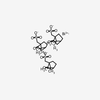 CC1(C)C2CCC1(CS(=O)(=O)[O-])C(=O)C2.CC1(C)C2CCC1(CS(=O)(=O)[O-])C(=O)C2.CC1(C)C2CCC1(CS(=O)(=O)[O-])C(=O)C2.[Bi+3]